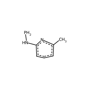 Cc1cccc(NP)n1